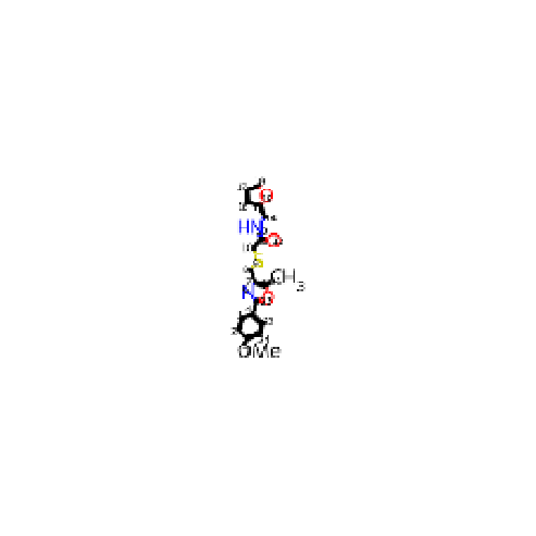 COc1ccc(-c2nc(CSCC(=O)NCC3CCCO3)c(C)o2)cc1